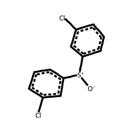 [O-][S+](c1cccc(Cl)c1)c1cccc(Cl)c1